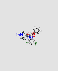 O=C(c1cc(F)cc(F)c1)C1(COc2ccccc2)NC2=C(CNCC2)O1